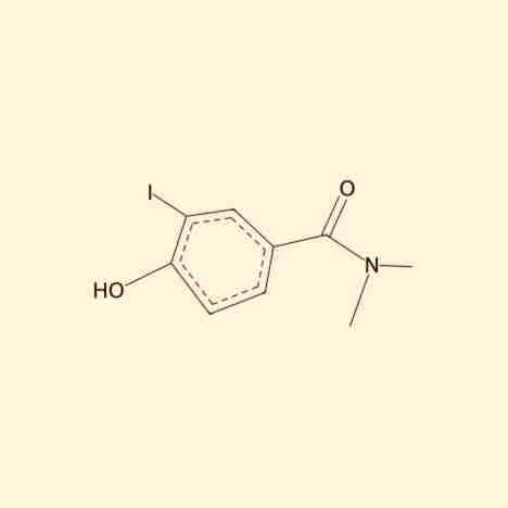 CN(C)C(=O)c1ccc(O)c(I)c1